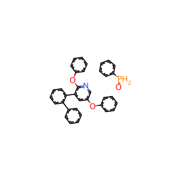 O=[PH2]c1ccccc1.c1ccc(Oc2cnc(Oc3ccccc3)c(-c3ccccc3-c3ccccc3)c2)cc1